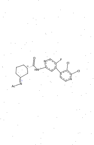 CC(=O)/N=C1\CCC[C@H](C(=O)Nc2cc(-c3ccnc(Cl)c3Cl)c(F)cn2)C1